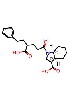 O=C(O)C(CCC(=O)N1CC(C(=O)O)[C@@H]2CCCC[C@@H]21)CCc1ccccc1